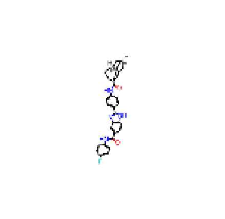 O=C(Nc1ccc(F)cc1)c1ccc2[nH]c(-c3ccc(NC(=O)C45CCC[C@H]6C[C@@H](CC6C4)C5)cc3)nc2c1